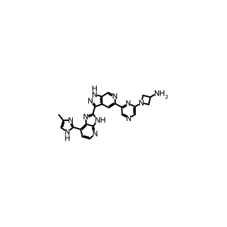 Cc1c[nH]c(-c2ccnc3[nH]c(-c4n[nH]c5cnc(-c6cncc(N7CC(N)C7)n6)cc45)nc23)n1